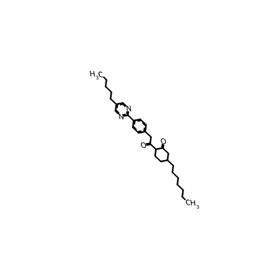 CCCCCCCC1CCC(C(=O)Cc2ccc(-c3ncc(CCCCC)cn3)cc2)C(=O)C1